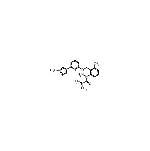 Cc1cccc(N(N)C(=O)N(C)N)c1COc1cccc(-c2cnn(C)c2)n1